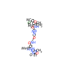 CC[C@@H]1C(=O)N(C)c2cnc(Nc3ccc(C(=O)NCCCOC4CCN(c5ncc(C(=O)N[C@H]6C(C)(C)[C@H](Oc7ccc(C#N)c(Cl)c7)C6(C)C)cn5)CC4)cc3OC)nc2N1C1CCCC1